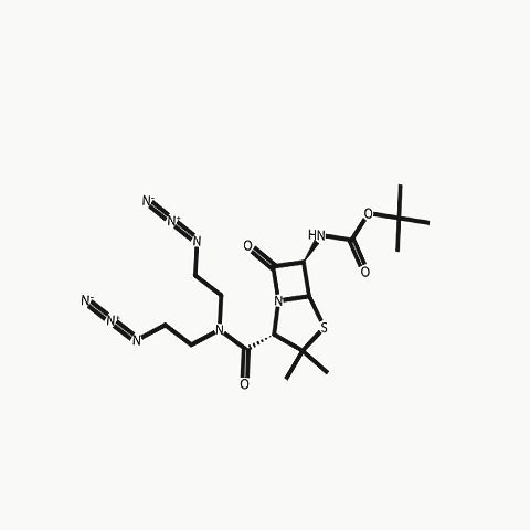 CC(C)(C)OC(=O)N[C@@H]1C(=O)N2C1SC(C)(C)[C@@H]2C(=O)N(CCN=[N+]=[N-])CCN=[N+]=[N-]